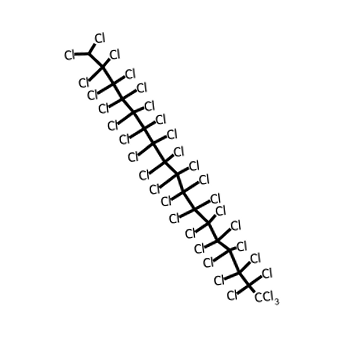 ClC(Cl)C(Cl)(Cl)C(Cl)(Cl)C(Cl)(Cl)C(Cl)(Cl)C(Cl)(Cl)C(Cl)(Cl)C(Cl)(Cl)C(Cl)(Cl)C(Cl)(Cl)C(Cl)(Cl)C(Cl)(Cl)C(Cl)(Cl)C(Cl)(Cl)C(Cl)(Cl)C(Cl)(Cl)C(Cl)(Cl)Cl